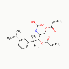 C=CC(=O)OCC(NC(=O)O)C(OC(=O)C=C)C(C)(C)c1cccc(C(=C)C)c1